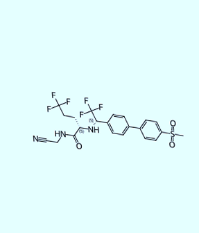 CS(=O)(=O)c1ccc(-c2ccc([C@H](N[C@@H](CCC(F)(F)F)C(=O)NCC#N)C(F)(F)F)cc2)cc1